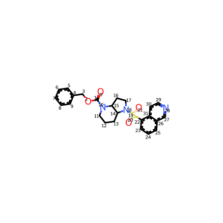 O=C(OCc1ccccc1)N1CCCC2C1CCN2S(=O)(=O)c1cccc2cnccc12